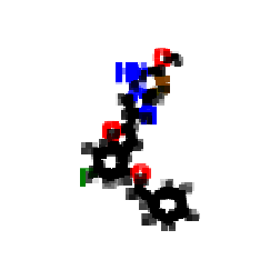 COC1Nn2cc(-c3cc4c(OCc5ccccc5)cc(F)cc4o3)nc2S1